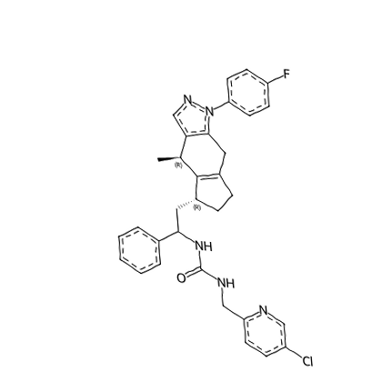 C[C@@H]1C2=C(CC[C@@H]2CC(NC(=O)NCc2ccc(Cl)cn2)c2ccccc2)Cc2c1cnn2-c1ccc(F)cc1